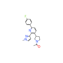 CC(=O)N1CCC(c2ccc(-c3ccc(F)cc3)nc2-c2ccn(C)n2)C1